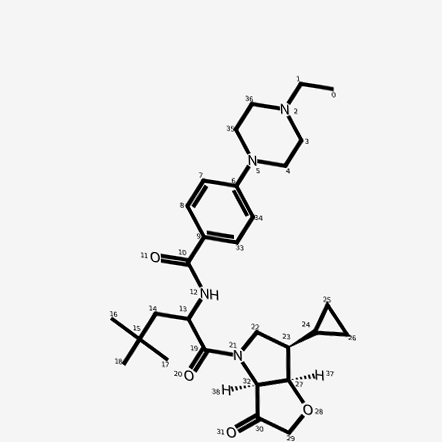 CCN1CCN(c2ccc(C(=O)NC(CC(C)(C)C)C(=O)N3C[C@@H](C4CC4)[C@H]4OCC(=O)[C@H]43)cc2)CC1